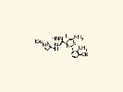 Cc1c(C#N)cccc1-c1nc(N)c(F)c(/C(=C/NCc2ccn(C(C)(C)C)n2)N=N)n1